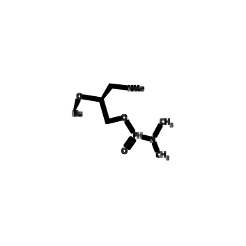 CC[C@H](C)O[C@@H](CNC)CO[PH](=O)N(C)C